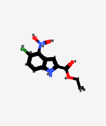 CCOC(=O)c1cc2c([N+](=O)[O-])c(Cl)ccc2[nH]1